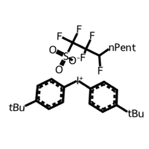 CC(C)(C)c1ccc([I+]c2ccc(C(C)(C)C)cc2)cc1.CCCCCC(F)C(F)(F)C(F)(F)S(=O)(=O)[O-]